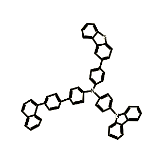 c1ccc2c(-c3ccc(-c4ccc(N(c5ccc(-c6ccc7sc8ccccc8c7c6)cc5)c5ccc(-n6c7ccccc7c7ccccc76)cc5)cc4)cc3)cccc2c1